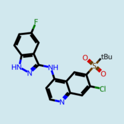 CC(C)(C)S(=O)(=O)c1cc2c(Nc3n[nH]c4ccc(F)cc34)ccnc2cc1Cl